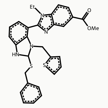 CCn1c(-c2cccc3c2N(Cc2cccs2)C(SCc2ccccc2)N3)nc2cc(C(=O)OC)ccc21